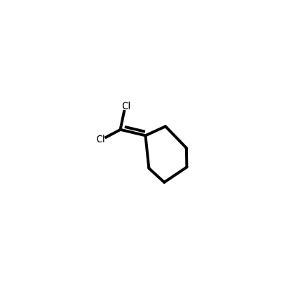 ClC(Cl)=C1CCCCC1